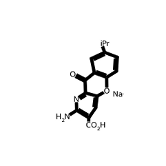 CC(C)c1ccc2oc3cc(C(=O)O)c(N)nc3c(=O)c2c1.[Na]